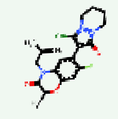 C=C(C)CN1C(=O)C(C)Oc2cc(F)c(-c3c(Cl)n4n(c3=O)CCCC4)cc21